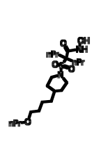 CCCOCCCCC1CCN(S(=O)(=O)C(CCC)(CCC)C(=O)NO)CC1